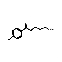 COCCCCC(=S)c1ccc(C)cc1